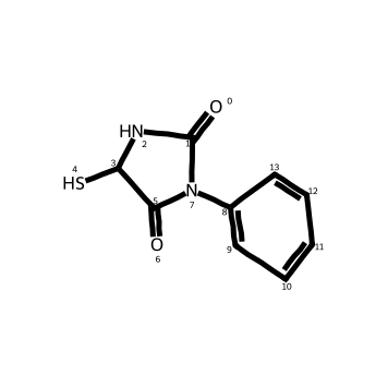 O=C1NC(S)C(=O)N1c1ccccc1